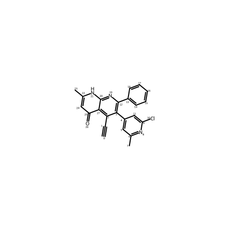 C#Cc1c(-c2cc(C)nc(Cl)c2)c(-c2ccccc2)nc2[nH]c(C)cc(=O)c12